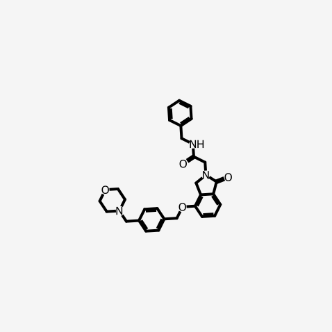 O=C(CN1Cc2c(OCc3ccc(CN4CCOCC4)cc3)cccc2C1=O)NCc1ccccc1